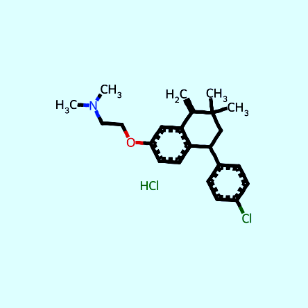 C=C1c2cc(OCCN(C)C)ccc2C(c2ccc(Cl)cc2)CC1(C)C.Cl